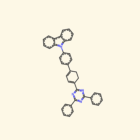 C1=C(c2ccc(-n3c4ccccc4c4ccccc43)cc2)CCC(c2nc(-c3ccccc3)nc(-c3ccccc3)n2)=C1